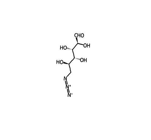 [N-]=[N+]=NC[C@@H](O)[C@@H](O)[C@H](O)[C@H](O)C=O